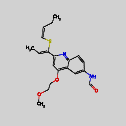 C/C=C(\S/C=C\CC)c1cc(OCCOC)c2cc(NC=O)ccc2n1